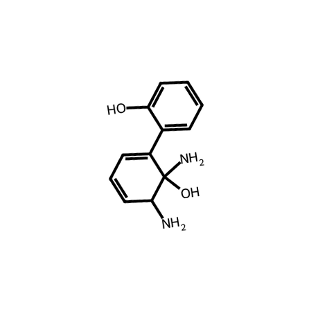 NC1C=CC=C(c2ccccc2O)C1(N)O